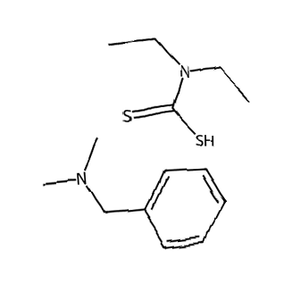 CCN(CC)C(=S)S.CN(C)Cc1ccccc1